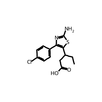 CCC(CC(=O)O)c1sc(N)nc1-c1ccc(Cl)cc1